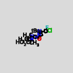 Cc1cc(N(C)C2CCN(C(=O)c3ccc4c(-c5ccc(Cl)c(F)c5)cn(C(C)(C)C)c4n3)CC2)nc(C)c1C(=O)O